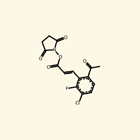 CC(=O)c1ccc(Cl)c(F)c1C=CC(=O)ON1C(=O)CCC1=O